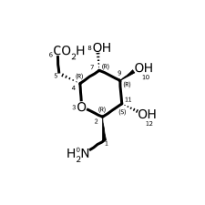 NC[C@H]1O[C@H](CC(=O)O)[C@H](O)[C@@H](O)[C@@H]1O